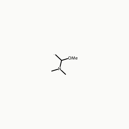 [CH2]C(OC)N(C)C